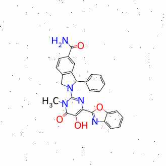 Cn1c(N2Cc3ccc(C(N)=O)cc3C2c2ccccc2)nc(-c2nc3ccccc3o2)c(O)c1=O